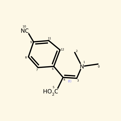 CN(C)/C=C(/C(=O)O)c1ccc(C#N)cc1